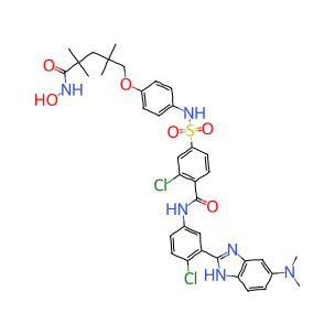 CN(C)c1ccc2[nH]c(-c3cc(NC(=O)c4ccc(S(=O)(=O)Nc5ccc(OCC(C)(C)CC(C)(C)C(=O)NO)cc5)cc4Cl)ccc3Cl)nc2c1